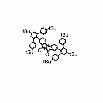 CC(C)(C)c1ccc(-c2cc(C(C)(C)C)cc(-c3ccc(C(C)(C)C)cc3)c2-c2ccc3c(c2)c(=O)n2c(=O)c4cc(-c5c(-c6ccc(C(C)(C)C)cc6)cc(C(C)(C)C)cc5-c5ccc(C(C)(C)C)cc5)ccc4n32)cc1